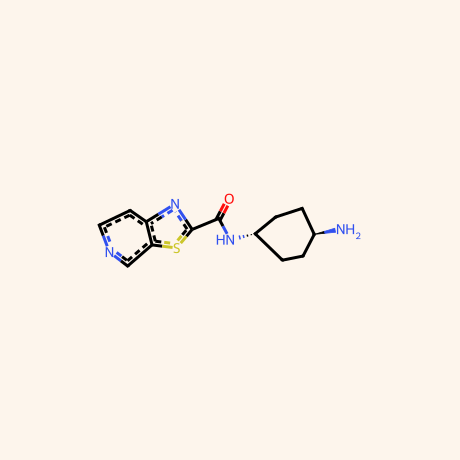 N[C@H]1CC[C@H](NC(=O)c2nc3ccncc3s2)CC1